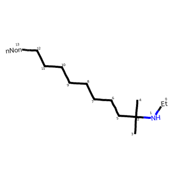 [CH2]CNC(C)(C)CCCCCCCCCCCCCCCCC